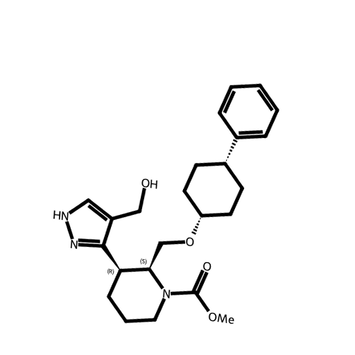 COC(=O)N1CCC[C@@H](c2n[nH]cc2CO)[C@H]1CO[C@H]1CC[C@@H](c2ccccc2)CC1